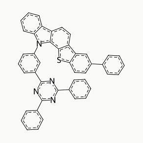 c1ccc(-c2ccc3sc4c(ccc5c6ccccc6n(-c6cccc(-c7nc(-c8ccccc8)nc(-c8ccccc8)n7)c6)c54)c3c2)cc1